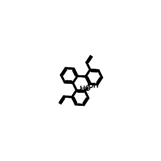 C=Cc1cccc(O)c1-c1ccccc1-c1c(O)cccc1C=C